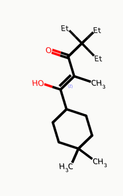 CCC(CC)(CC)C(=O)/C(C)=C(\O)C1CCC(C)(C)CC1